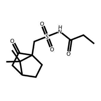 CCC(=O)NS(=O)(=O)CC12CCC(CC1=O)C2(C)C